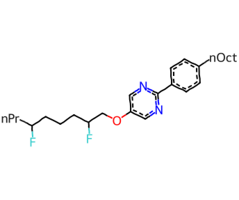 CCCCCCCCc1ccc(-c2ncc(OCC(F)CCCC(F)CCC)cn2)cc1